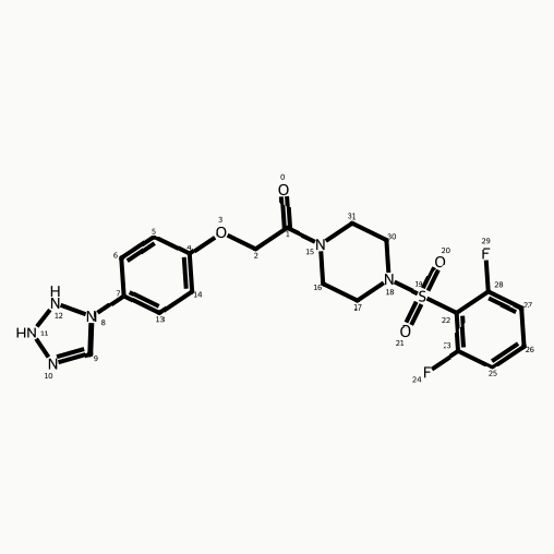 O=C(COc1ccc(N2C=NNN2)cc1)N1CCN(S(=O)(=O)c2c(F)cccc2F)CC1